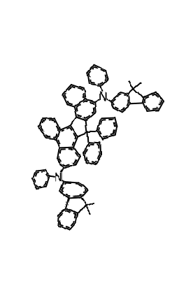 CC1(C)c2ccccc2-c2cc(N(c3ccccc3)c3ccc4c5c(c6ccccc6c4c3)-c3c(cc(N(c4ccccc4)c4ccc6c(c4)C(C)(C)c4ccccc4-6)c4ccccc34)C5(c3ccccc3)c3ccccc3)ccc21